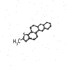 Cc1cc2ccc3c4cc5ccccc5cc4ccc3c2s1